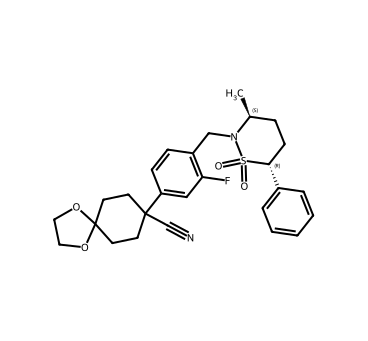 C[C@H]1CC[C@H](c2ccccc2)S(=O)(=O)N1Cc1ccc(C2(C#N)CCC3(CC2)OCCO3)cc1F